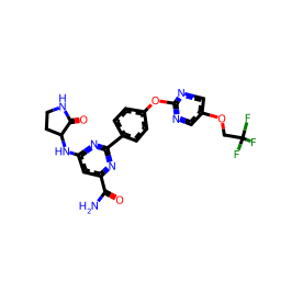 NC(=O)c1cc(NC2CCNC2=O)nc(-c2ccc(Oc3ncc(OCC(F)(F)F)cn3)cc2)n1